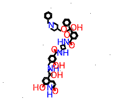 O=C(N[C@H]1C[C@H](NC(=O)c2ccc(CNC[C@H](O)c3ccc(O)c4[nH]c(=O)ccc34)c(O)c2)C1)c1cccc([C@](O)(C(=O)OCC2CCN(Cc3ccccc3)CC2)c2ccccc2)c1